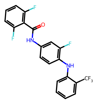 O=C(Nc1ccc(Nc2ccccc2C(F)(F)F)c(F)c1)c1c(F)cccc1F